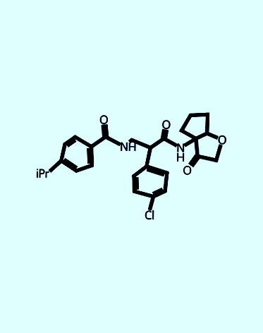 CC(C)c1ccc(C(=O)NCC(C(=O)NC23CCCC2OCC3=O)c2ccc(Cl)cc2)cc1